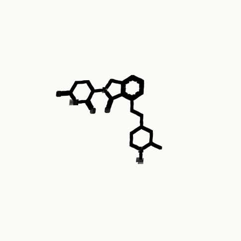 [2H]N1CCC(CCc2cccc3c2C(=O)N(C2CCC(=O)NC2=O)C3)CC1C